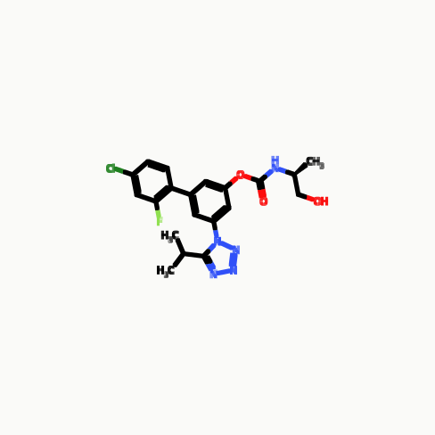 CC(C)c1nnnn1-c1cc(OC(=O)N[C@@H](C)CO)cc(-c2ccc(Cl)cc2F)c1